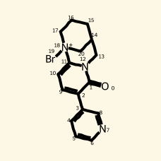 O=c1c(-c2cccnc2)ccc2n1CC1CCC[N+]2(Br)C1